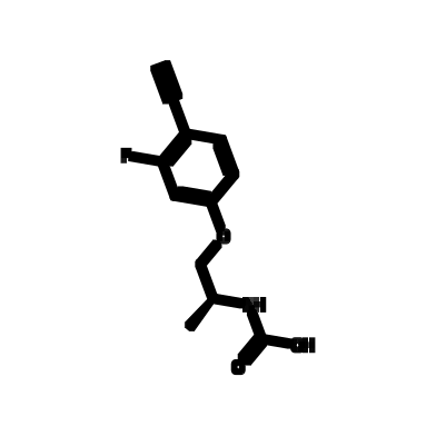 C#Cc1ccc(OC[C@H](C)NC(=O)O)cc1F